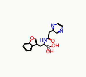 O=C(Cc1cnccn1)NC(Cc1coc2ccccc12)B(O)O